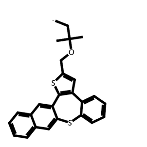 [CH2]CC(C)(C)OCc1cc2c(s1)-c1cc3ccccc3cc1Sc1ccccc1-2